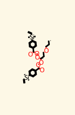 [CH2]CCOCC[C](OOC(=O)c1ccc([Si](C)(C)C=C)cc1)OOC(=O)c1ccc([Si](C)(C)C=C)cc1